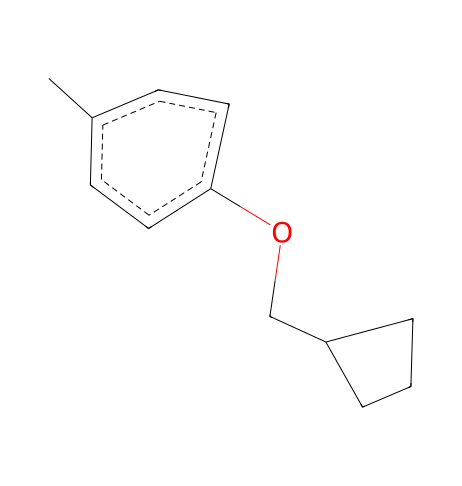 Cc1ccc(OCC2CCC2)cc1